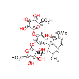 COc1ccc(C[C@H](C)[C@H](C)Cc2ccc(O[C@@H]3O[C@H](C(=O)O)[C@@H](O)[C@H](O)[C@H]3O)c(O[C@@H]3O[C@H](C(=O)O)[C@@H](O)[C@H](O)[C@H]3O)c2)cc1O